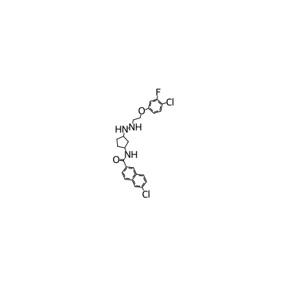 O=C(NC1CCC(NNCCOc2ccc(Cl)c(F)c2)C1)c1ccc2cc(Cl)ccc2c1